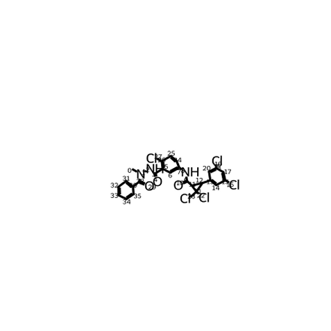 CN(NC(=O)c1cc(NC(=O)C2C(c3cc(Cl)cc(Cl)c3)C2(Cl)Cl)ccc1Cl)C(=O)c1ccccc1